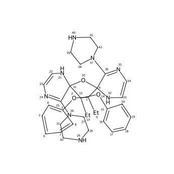 CCC(Oc1ccccc1)C1(OC2(C(CC)Oc3ccccc3)NC=CN=C2N2CCNCC2)NC=CN=C1N1CCNCC1